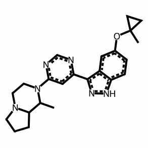 CC1C2CCCN2CCN1c1cc(-c2n[nH]c3ccc(OC4(C)CC4)cc23)ncn1